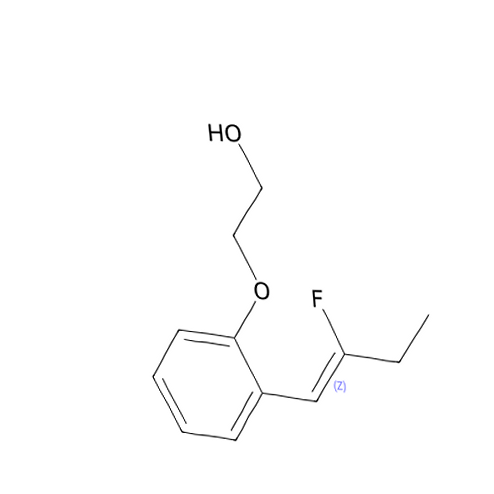 CC/C(F)=C/c1ccccc1OCCO